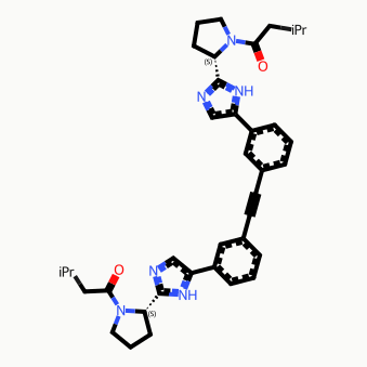 CC(C)CC(=O)N1CCC[C@H]1c1ncc(-c2cccc(C#Cc3cccc(-c4cnc([C@@H]5CCCN5C(=O)CC(C)C)[nH]4)c3)c2)[nH]1